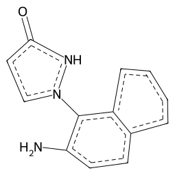 Nc1ccc2ccccc2c1-n1ccc(=O)[nH]1